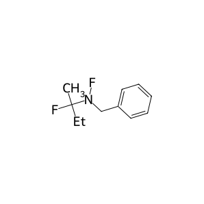 CCC(C)(F)N(F)Cc1ccccc1